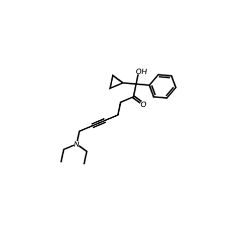 CCN(CC)CC#CCCC(=O)C(O)(c1ccccc1)C1CC1